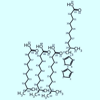 C1=CCC=C1.C1=CCC=C1.CC(C)CCCCCCCC(=O)O.CC(C)CCCCCCCC(=O)O.CC(C)CCCCCCCC(=O)O.CC(C)CCCCCCCC(=O)O